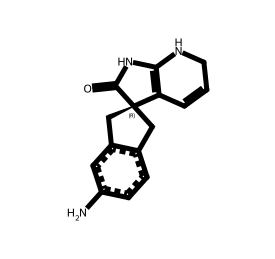 Nc1ccc2c(c1)C[C@@]1(C2)C(=O)NC2=C1C=CCN2